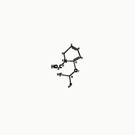 O=C(O)N1CC=CC=C1OC(F)F